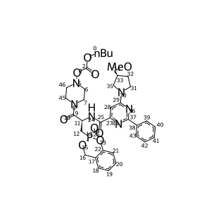 CCCCOC(=O)ON1CCN(C(=O)[C@H](CP2(=O)OCc3ccccc3O2)NC(=O)c2cc(N3CC[C@H](OC)C3)nc(-c3ccccc3)n2)CC1